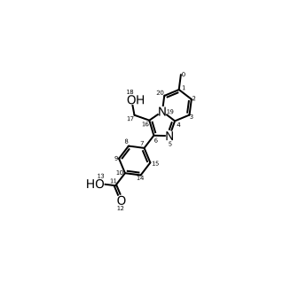 Cc1ccc2nc(-c3ccc(C(=O)O)cc3)c(CO)n2c1